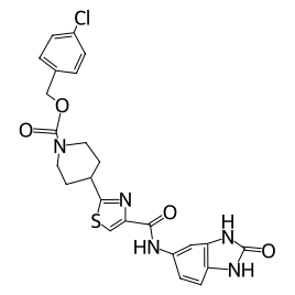 O=C(Nc1ccc2[nH]c(=O)[nH]c2c1)c1csc(C2CCN(C(=O)OCc3ccc(Cl)cc3)CC2)n1